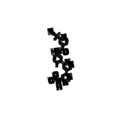 COC(=O)Nc1cc(-c2cnnc(-c3cc(NC(=O)c4ccnc(C(C)(C)C#N)c4)ccc3C)c2)ncn1